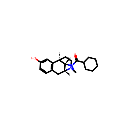 CN1CC[C@]2(C)c3cc(O)ccc3C[C@@H]1[C@H]2N(C)C(=O)C1CCCCC1